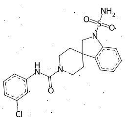 NS(=O)(=O)N1CC2(CCN(C(=O)Nc3cccc(Cl)c3)CC2)c2ccccc21